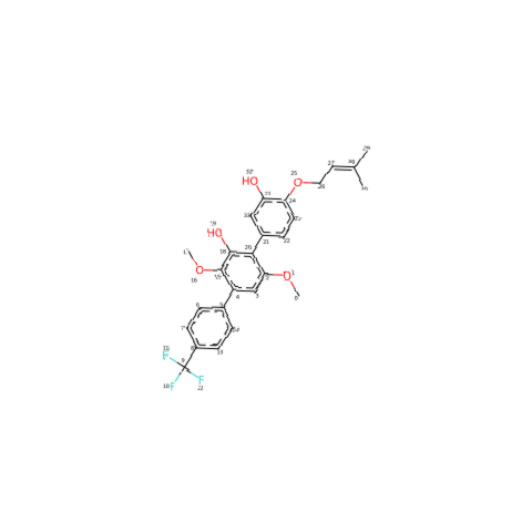 COc1cc(-c2ccc(C(F)(F)F)cc2)c(OC)c(O)c1-c1ccc(OCC=C(C)C)c(O)c1